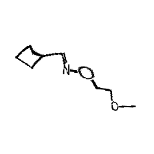 COCCON=CC1CCC1